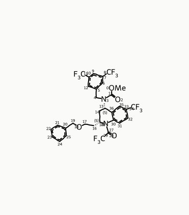 COC(=O)N(Cc1cc(C(F)(F)F)cc(C(F)(F)F)c1)[C@H]1C[C@@H](CCOCc2ccccc2)N(C(=O)C(F)(F)F)c2ccc(C(F)(F)F)cc21